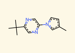 Cc1ccn(-c2cnc(C(C)(C)C)cn2)c1